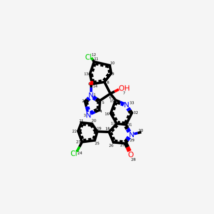 Cn1cncc1C(O)(c1ccc(Cl)cc1)c1cc2c(-c3cccc(Cl)c3)cc(=O)n(C)c2cn1